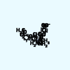 COC(=O)C1CCCCC(Oc2ccc(/C(N)=C(\COC(=O)Oc3ccc([N+](=O)[O-])cc3)N(C)N)nc2C)C1